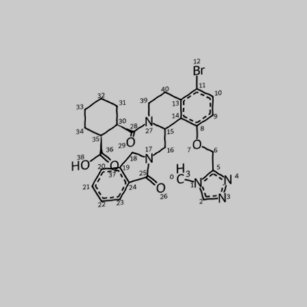 Cn1cnnc1COc1ccc(Br)c2c1C(CN1Cc3ccccc3C1=O)N(C(=O)[C@@H]1CCCC[C@@H]1C(=O)O)CC2